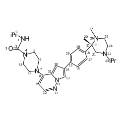 CC(C)NC(=O)N1CCN(c2ccnn3cc(-c4ccc([C@@]5(C)CN(C(C)C)CCN5C)cc4)cc23)CC1